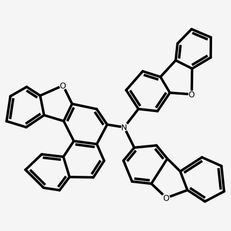 c1ccc2c(c1)ccc1c(N(c3ccc4c(c3)oc3ccccc34)c3ccc4oc5ccccc5c4c3)cc3oc4ccccc4c3c12